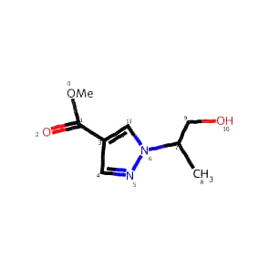 COC(=O)c1cnn(C(C)CO)c1